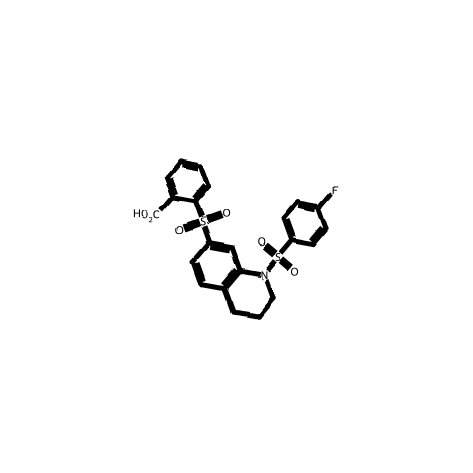 O=C(O)c1ccccc1S(=O)(=O)c1ccc2c(c1)N(S(=O)(=O)c1ccc(F)cc1)CCC2